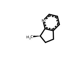 C[C@@H]1CCc2cccnc21